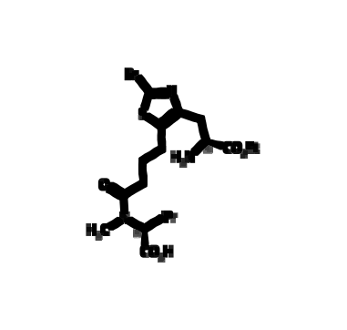 CCOC(=O)[C@@H](N)Cc1nc(Br)sc1CCCC(=O)N(C)[C@H](C(=O)O)C(C)C